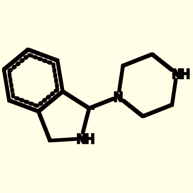 c1ccc2c(c1)CN[C]2N1CCNCC1